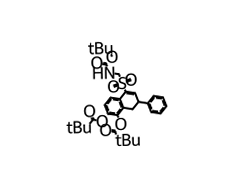 CC(C)(C)OC(=O)NCS(=O)(=O)C1=CC(c2ccccc2)Cc2c1ccc(OC(=O)C(C)(C)C)c2OC(=O)C(C)(C)C